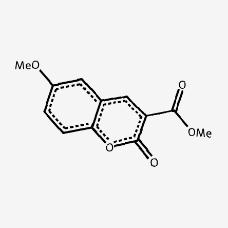 COC(=O)c1cc2cc(OC)ccc2oc1=O